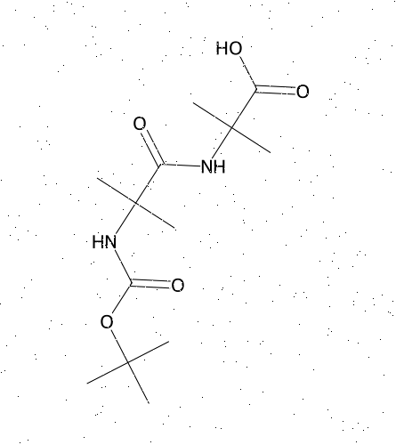 CC(C)(C)OC(=O)NC(C)(C)C(=O)NC(C)(C)C(=O)O